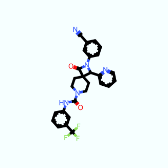 N#Cc1cccc(N2C(=O)C3(CCN(C(=O)Nc4cccc(C(F)(F)F)c4)CC3)C2c2ccccn2)c1